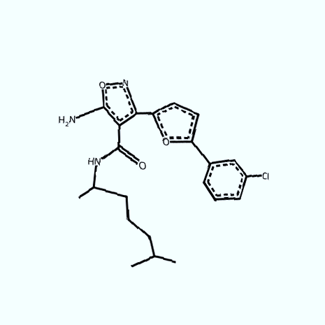 CC(C)CCCC(C)NC(=O)c1c(-c2ccc(-c3cccc(Cl)c3)o2)noc1N